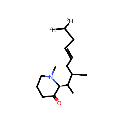 [2H]C([2H])CC=CC[C@@H](C)C(C)[C@H]1C(=O)CCCN1C